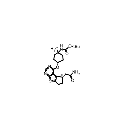 CC(C)(C)OC(=O)N[C@]1(C)CC[C@@H](Oc2ncnc3sc4c(c23)[C@@H](CC(N)=O)CC4)CC1